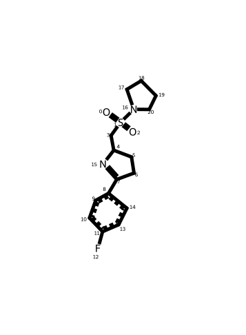 O=S(=O)(CC1CCC(c2ccc(F)cc2)=N1)N1CCCC1